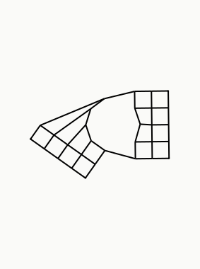 C1C2C3C4C5CC6C7C8CC9C(C%10C%11CC%12C%13C1C21C3C2C%10C%11%12C%1321)C1C2C4C56C72C981